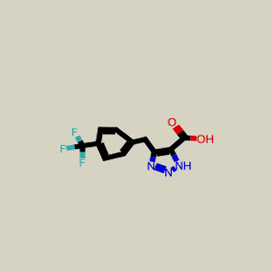 O=C(O)c1[nH]nnc1Cc1ccc(C(F)(F)F)cc1